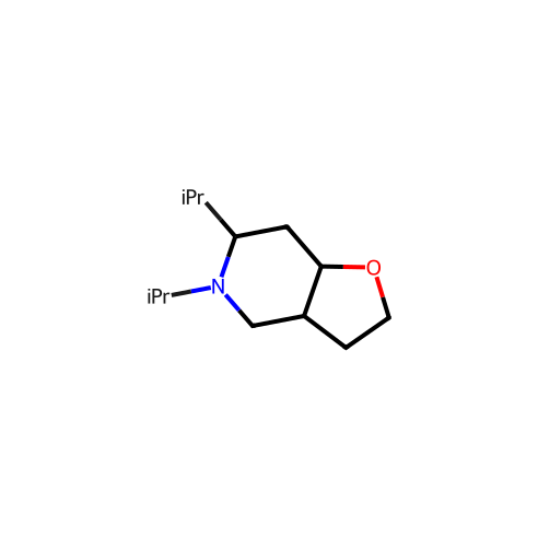 CC(C)C1CC2OCCC2CN1C(C)C